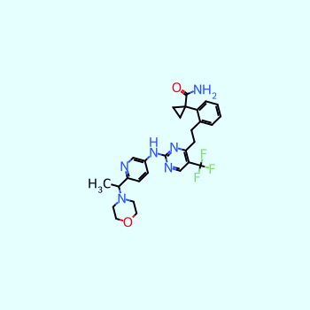 CC(c1ccc(Nc2ncc(C(F)(F)F)c(CCc3ccccc3C3(C(N)=O)CC3)n2)cn1)N1CCOCC1